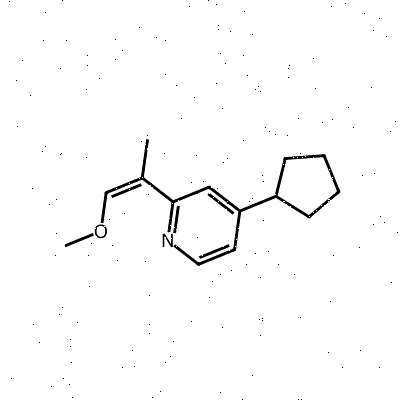 CO/C=C(/C)c1cc(C2CCCC2)ccn1